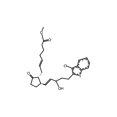 COC(=O)CCCC=CC[C@H]1C(=O)CC[C@@H]1C=CC(O)CCc1sc2ccccc2c1Cl